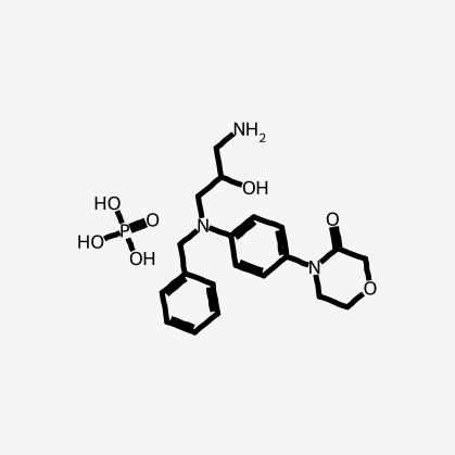 NCC(O)CN(Cc1ccccc1)c1ccc(N2CCOCC2=O)cc1.O=P(O)(O)O